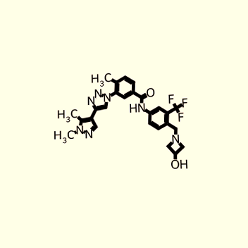 Cc1ccc(C(=O)Nc2ccc(CN3CC(O)C3)c(C(F)(F)F)c2)cc1-n1cc(-c2cnn(C)c2C)nn1